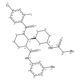 Cc1cc(Cl)ccc1C(=O)N1CCCC(C(=O)Nc2cccc(C(C)(C)C)c2)[C@@H]1C1CCCC(NC(=O)OC(C)(C)C)C1